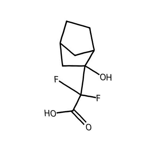 O=C(O)C(F)(F)C1(O)CC2CCC1C2